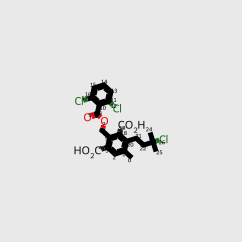 Cc1cc(C(=O)O)c(COC(=O)c2c(Cl)cccc2Cl)c(C(=O)O)c1CCC(C)(C)Cl